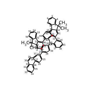 CC1(C)c2ccccc2-c2ccc(-c3ccccc3N(c3ccc(-c4ccc5c(ccc6ccccc65)c4)cc3)c3ccccc3-c3cccc4c3-c3ccccc3C4(C)C)cc21